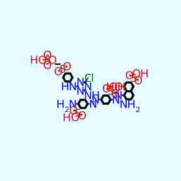 Nc1cc(Nc2nc(Cl)nc(Nc3ccc(S(=O)(=O)CCOS(=O)(=O)O)cc3)n2)c(/N=N/c2ccc(/N=N/c3c(N)ccc4cc(S(=O)(=O)O)cc(O)c34)c(S(=O)(=O)O)c2)cc1S(=O)(=O)O